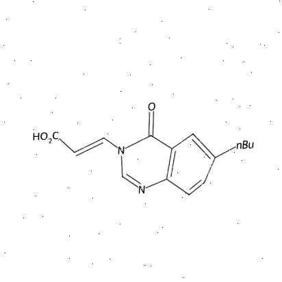 CCCCc1ccc2ncn(C=CC(=O)O)c(=O)c2c1